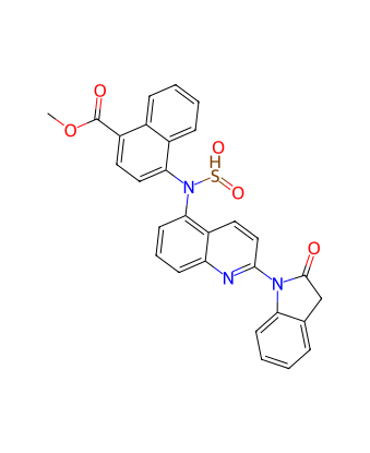 COC(=O)c1ccc(N(c2cccc3nc(N4C(=O)Cc5ccccc54)ccc23)[SH](=O)=O)c2ccccc12